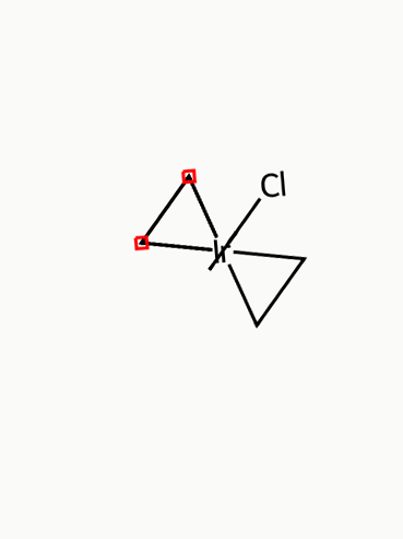 [Cl][Ir]1234([CH2][CH2]1)([CH2][CH2]2)([CH2][CH2]3)[CH2][CH2]4